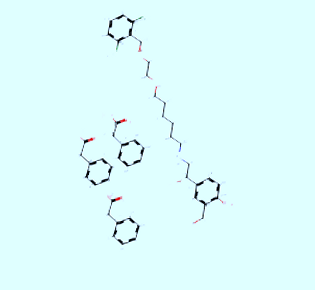 O=C(O)Cc1ccccc1.O=C(O)Cc1ccccc1.O=C(O)Cc1ccccc1.OCc1cc([C@@H](O)CNCCCCCCOCCOCc2c(Cl)cccc2Cl)ccc1O